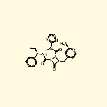 CC[C@@H](NC(=O)N1C(=O)[C@H](Cc2ccnc(N)c2)[C@H]1C(=O)N(C)c1nncs1)c1ccccc1